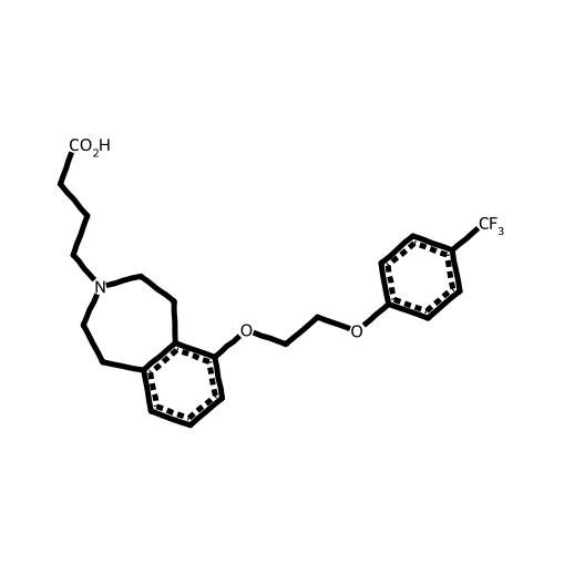 O=C(O)CCCN1CCc2cccc(OCCOc3ccc(C(F)(F)F)cc3)c2CC1